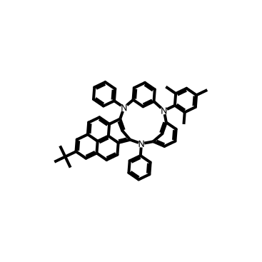 Cc1cc(C)c(N2c3cccc(c3)N(c3ccccc3)c3cc(c4ccc5cc(C(C)(C)C)cc6ccc3c4c65)N(c3ccccc3)c3cccc2c3)c(C)c1